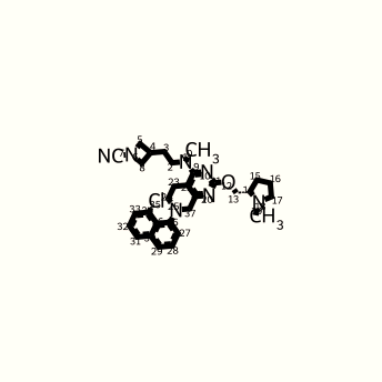 CN(CCC1CN(C#N)C1)c1nc(OC[C@@H]2CCCN2C)nc2c1CCN(c1cccc3cccc(Cl)c13)C2